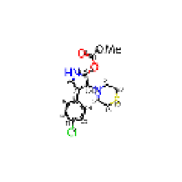 COC(=O)Oc1[nH]cc(-c2ccc(Cl)cc2)c1N1CCSCC1